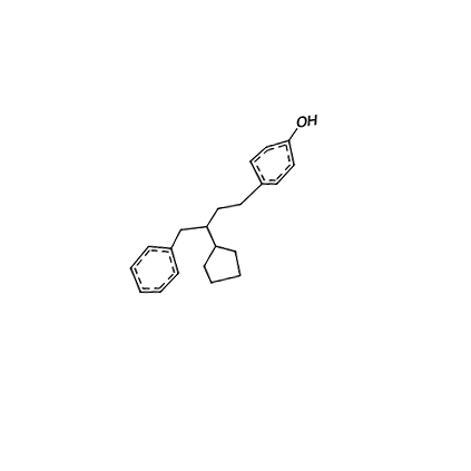 Oc1ccc(CCC(Cc2ccccc2)C2CCCC2)cc1